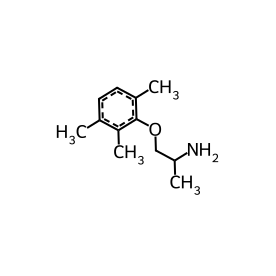 Cc1ccc(C)c(OCC(C)N)c1C